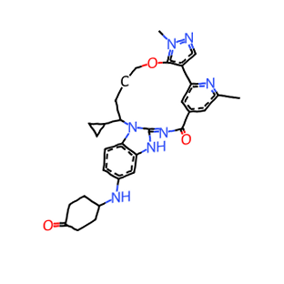 Cc1cc2cc(n1)-c1cnn(C)c1OCCCC(C1CC1)N1/C(=N/C2=O)Nc2cc(NC3CCC(=O)CC3)ccc21